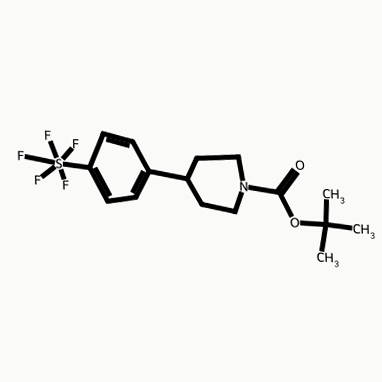 CC(C)(C)OC(=O)N1CCC(c2ccc(S(F)(F)(F)(F)F)cc2)CC1